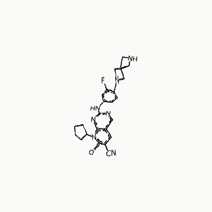 N#Cc1cc2cnc(Nc3ccc(N4CC5(CNC5)C4)c(F)c3)nc2n(C2CCCC2)c1=O